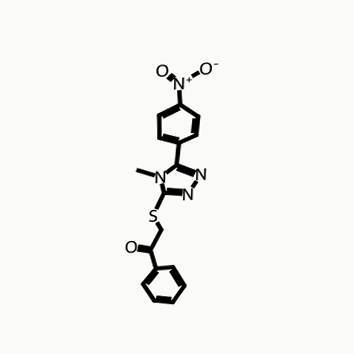 Cn1c(SCC(=O)c2ccccc2)nnc1-c1ccc([N+](=O)[O-])cc1